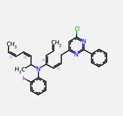 C=C/C=C(\C=C/Cc1cc(Cl)nc(-c2ccccc2)n1)N(c1ccccc1I)C(C)/C=C\C=C/C